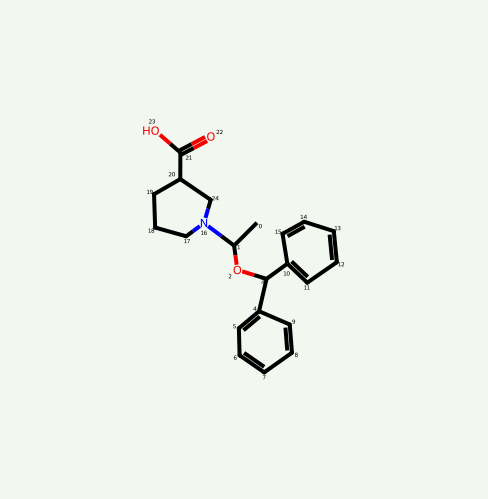 CC(OC(c1ccccc1)c1ccccc1)N1CCCC(C(=O)O)C1